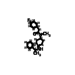 CC(NN1CCC(N(C)C(=O)Cc2ccc(F)cc2)CC1)c1ccccc1